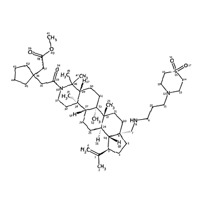 C=C(C)[C@@H]1CC[C@]2(CNCCCN3CCS(=O)(=O)CC3)CC[C@]3(C)[C@H](CC[C@@H]4[C@@]5(C)CCN(C(=O)CC6(CC(=O)OC)CCCC6)C(C)(C)[C@@H]5CC[C@]43C)[C@@H]12